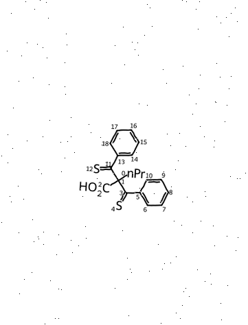 CCCC(C(=O)O)(C(=S)c1ccccc1)C(=S)c1ccccc1